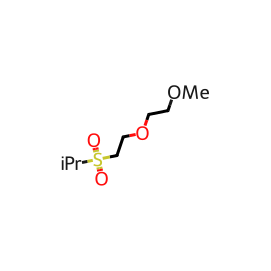 COCCOCCS(=O)(=O)C(C)C